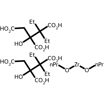 CCC(CC)(C(=O)O)C(O)(CC(=O)O)C(=O)O.CCC(CC)(C(=O)O)C(O)(CC(=O)O)C(=O)O.CCC[O][Zr][O]CCC